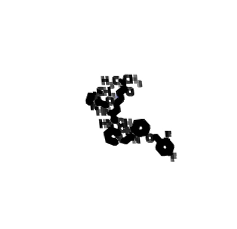 CN(C)C(=O)/C=C/CCC(NC(=O)c1nccn1C)C(=O)Nc1cccn(Cc2nc3c(OCc4ccc(F)cc4F)cccc3[nH]2)c1=O